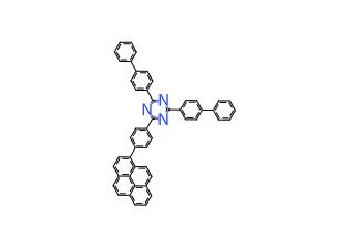 c1ccc(-c2ccc(-c3nc(-c4ccc(-c5ccccc5)cc4)nc(-c4ccc(-c5ccc6ccc7cccc8ccc5c6c78)cc4)n3)cc2)cc1